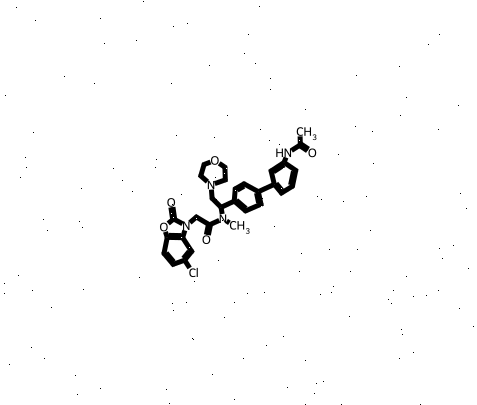 CC(=O)Nc1cccc(-c2ccc(C(CN3CCOCC3)N(C)C(=O)Cn3c(=O)oc4ccc(Cl)cc43)cc2)c1